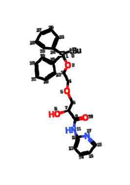 CC(C)(C)[Si](OCCOC[C@H](O)C(=O)Nc1ccccn1)(c1ccccc1)c1ccccc1